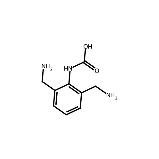 NCc1cccc(CN)c1NC(=O)O